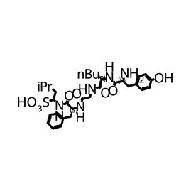 CCCC[C@@H](NC(=O)[C@@H](N)Cc1ccc(O)cc1)C(=O)NCC(=O)N[C@@H](Cc1ccccc1)C(=O)NC(CC(C)C)S(=O)(=O)O